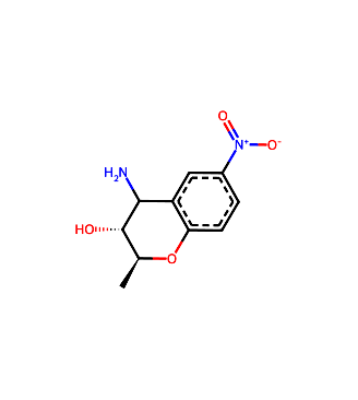 C[C@@H]1Oc2ccc([N+](=O)[O-])cc2C(N)[C@H]1O